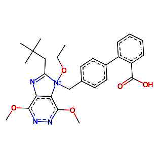 CCO[N+]1(Cc2ccc(-c3ccccc3C(=O)O)cc2)C(CC(C)(C)C)=Nc2c(OC)nnc(OC)c21